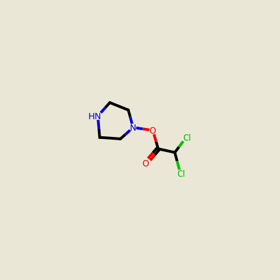 O=C(ON1CCNCC1)C(Cl)Cl